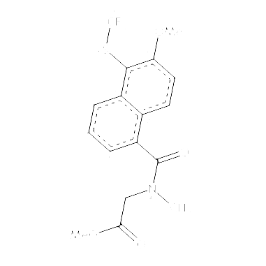 COC(=O)CN(C)C(=O)c1cccc2c(SC(F)(F)F)c(OC)ccc12